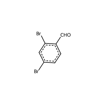 O=Cc1ccc(Br)cc1Br